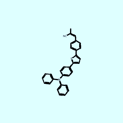 C/C(C#N)=C/c1ccc(-c2ccc(-c3ccc(N(c4ccccc4)c4ccccc4)cc3)s2)cc1